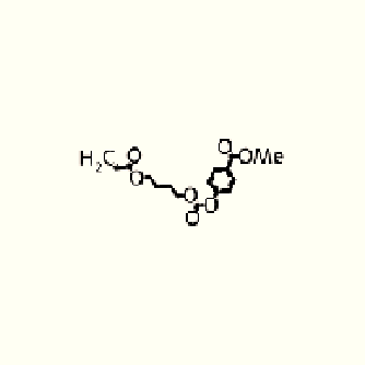 C=CC(=O)OCCCCOC(=O)Oc1ccc(C(=O)OC)cc1